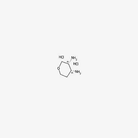 Cl.Cl.N[C@@H]1CCOC[C@@H]1N